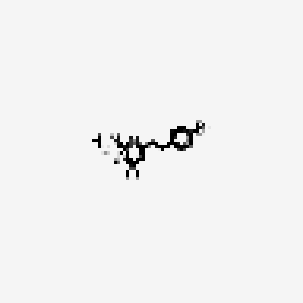 Cn1c(N)nc(CCc2ccc(Br)cc2)cc1=O